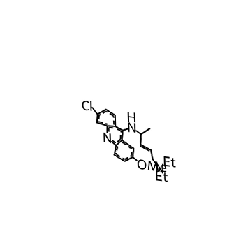 CCN(CC)CC=CC(C)Nc1c2ccc(Cl)cc2nc2ccc(OC)cc12